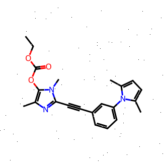 CCOC(=O)Oc1c(C)nc(C#Cc2cccc(-n3c(C)ccc3C)c2)n1C